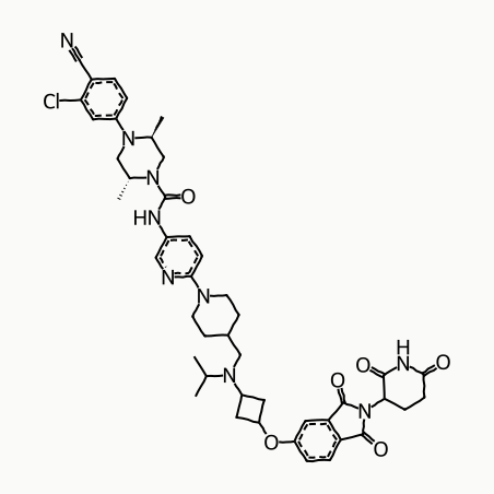 CC(C)N(CC1CCN(c2ccc(NC(=O)N3C[C@H](C)N(c4ccc(C#N)c(Cl)c4)C[C@H]3C)cn2)CC1)C1CC(Oc2ccc3c(c2)C(=O)N(C2CCC(=O)NC2=O)C3=O)C1